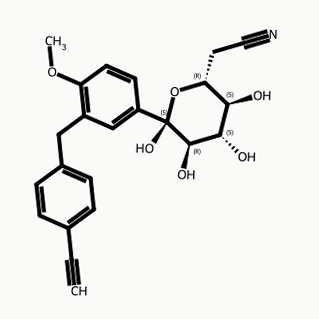 C#Cc1ccc(Cc2cc([C@]3(O)O[C@H](CC#N)[C@@H](O)[C@H](O)[C@H]3O)ccc2OC)cc1